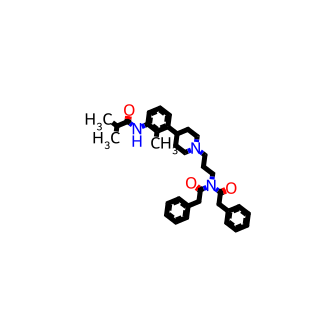 Cc1c(NC(=O)C(C)C)cccc1C1CCN(CCCN(C(=O)Cc2ccccc2)C(=O)Cc2ccccc2)CC1